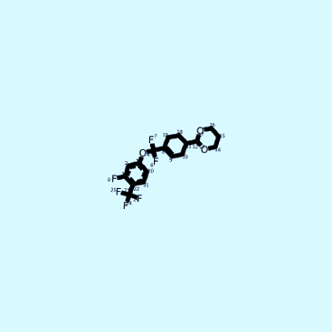 Fc1cc(OC(F)(F)C2=CCC(C3OCCCO3)CC2)ccc1C(F)(F)F